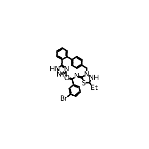 CCC1NN(Cc2ccc(-c3ccccc3-c3nnn[nH]3)cc2)C(=NC(=O)c2cccc(Br)c2)S1